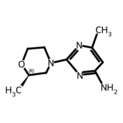 Cc1cc(N)nc(N2CCO[C@H](C)C2)n1